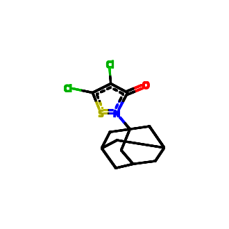 O=c1c(Cl)c(Cl)sn1C12CC3CC(CC(C3)C1)C2